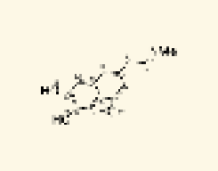 CNCCc1ccc2cc(O)c(O)cc2c1.Cl